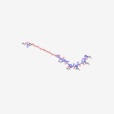 CC(=O)Nc1ccc(OCCOCCOCCOCCOCCOCCOCCOCCOCCNC(=O)CCNC(=O)c2nc(NC(=O)CCNC(=O)c3cc(NC(=O)c4nc(NC(=O)CCNC(=O)c5cc(NC(=O)c6nccn6C)cn5C)cn4C)cn3C)cn2C)cc1